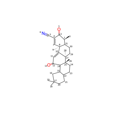 C[C@@H]1C(=O)C(C#N)=C[C@]2(C)C3=CC(=O)C4C5CC(C)(C)CCC5CC[C@@]4(C)[C@]3(C)CCC12